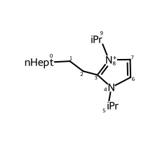 CCCCCCCCCc1n(C(C)C)cc[n+]1C(C)C